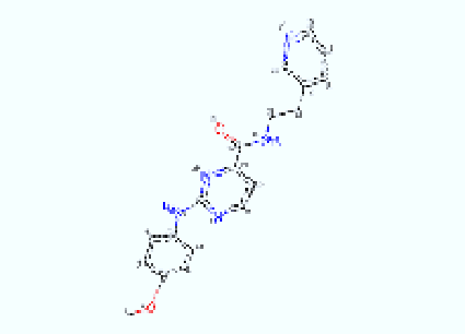 COc1ccc(Nc2nccc(C(=O)NCCc3cccnc3)n2)cc1